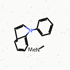 CNC.c1ccc(-n2ccc3ccccc32)cc1